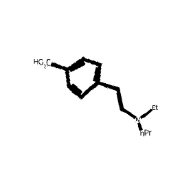 CCCN(CC)CCc1ccc(C(=O)O)cc1